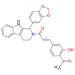 CC(=O)c1ccc(/C=C/C(=O)N2CCc3c([nH]c4ccccc34)C2c2ccc3c(c2)OCO3)cc1O